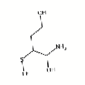 CCSC(CCO)C(N)O